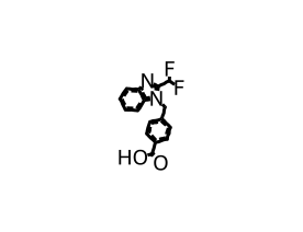 O=C(O)c1ccc(Cn2c(C(F)F)nc3ccccc32)cc1